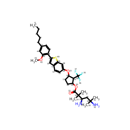 CCCCCc1ccc(-c2cc3ccc(OC4CCC(OC(=O)C(C)(C)C(N)CC(C)(C)N)C4C(F)(F)F)cc3s2)c(OC)c1